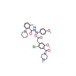 COc1ccc(N(NC(=O)c2c(C)cccc2N2CCCCC2)OC(=O)Cc2cc(OC)c(C(=O)N3CCN(C)CC3)cc2Br)cc1